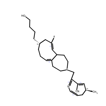 C[C@@H]1/C=C(C#N)/C(CN2CC/C3=C/CC[C@H](CCCCO)C/C(F)=C/C3CC2)=N\C=C/C1